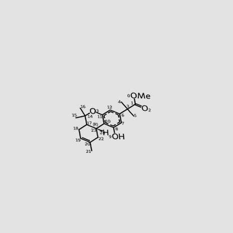 COC(=O)C(C)(C)c1cc(O)c2c(c1)OC(C)(C)C1CC=C(C)C[C@@H]21